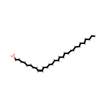 CCCCCCCCCCCCCCCCCCCC/C=C\CCCCCCCCO